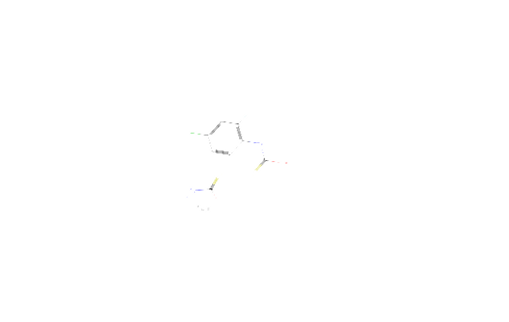 NC(O)=S.OC(=S)Nc1ccc(Cl)cc1F.[NaH]